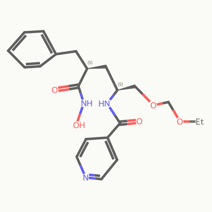 CCOCOC[C@H](C[C@H](Cc1ccccc1)C(=O)NO)NC(=O)c1ccncc1